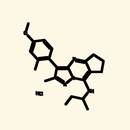 CCC(C)Nc1c2c(nc3c(-c4ccc(OC)cc4C)c(C)nn13)CCC2.Cl